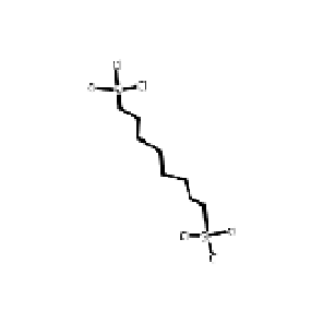 Cl[Si](Cl)(Cl)CCCCCCCC[Si](Cl)(Cl)Cl